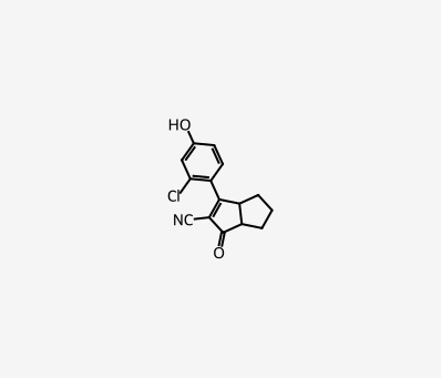 N#CC1=C(c2ccc(O)cc2Cl)C2CCCC2C1=O